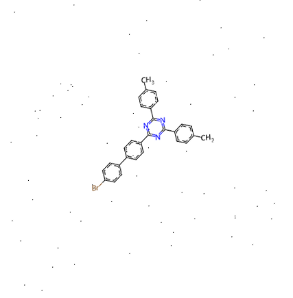 Cc1ccc(-c2nc(-c3ccc(C)cc3)nc(-c3ccc(-c4ccc(Br)cc4)cc3)n2)cc1